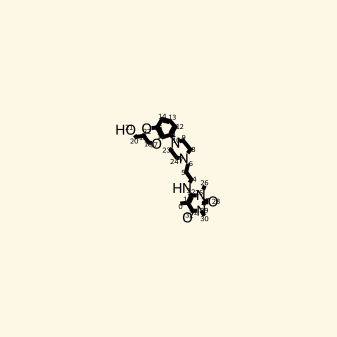 Cc1c(NCCCN2CCN(c3cccc4c3OCC(CO)O4)CC2)n(C)c(=O)n(C)c1=O